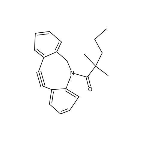 CCCC(C)(C)C(=O)N1Cc2ccccc2C#Cc2ccccc21